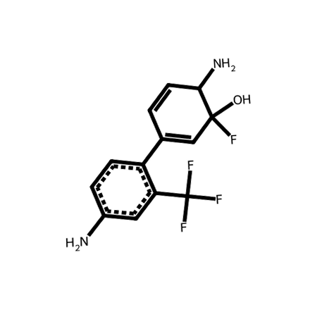 Nc1ccc(C2=CC(O)(F)C(N)C=C2)c(C(F)(F)F)c1